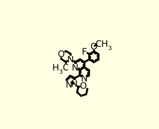 COc1cccc(-c2cc(N3CCOCC3C)nc3c(-c4ccnn4C4CCCCO4)nccc23)c1F